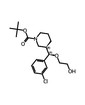 CC(C)(C)OC(=O)N1CCC[C@@H]([C@@H](OCCO)c2cccc(Cl)c2)C1